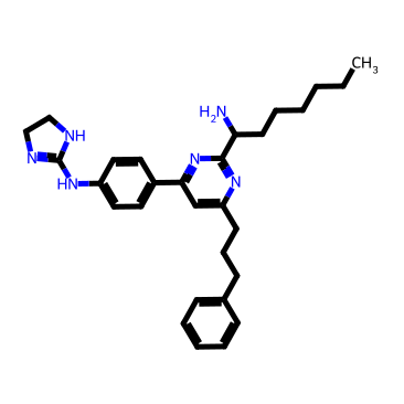 CCCCCCC(N)c1nc(CCCc2ccccc2)cc(-c2ccc(NC3=NCCN3)cc2)n1